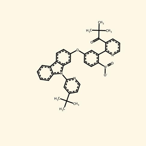 CC(C)(C)C(=O)c1cccnc1-c1cc(Oc2ccc3c4ccccc4n(-c4cc(C(C)(C)C)ccn4)c3c2)ccc1[N+](=O)[O-]